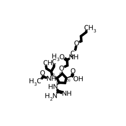 CCCCOCCNC(=O)CO[C@H]1[C@@H]([C@H](NC(C)=O)C(CC)CC)[C@H](NC(=N)N)C[C@@H]1C(=O)O